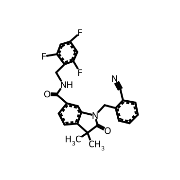 CC1(C)C(=O)N(Cc2ccccc2C#N)c2cc(C(=O)NCc3c(F)cc(F)cc3F)ccc21